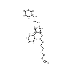 CCCCCCCCCn1cc(CCCc2ccccc2)nc1-c1ccccc1